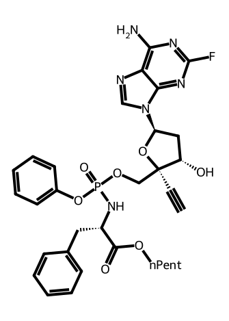 C#C[C@]1(COP(=O)(N[C@@H](Cc2ccccc2)C(=O)OCCCCC)Oc2ccccc2)O[C@@H](n2cnc3c(N)nc(F)nc32)C[C@@H]1O